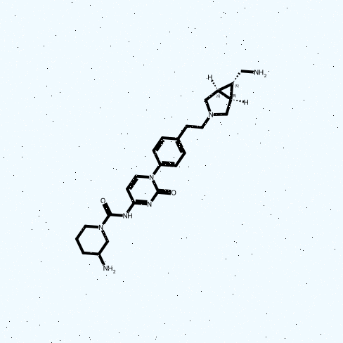 NC[C@@H]1[C@H]2CN(CCc3ccc(-n4ccc(NC(=O)N5CCCC(N)C5)nc4=O)cc3)C[C@@H]12